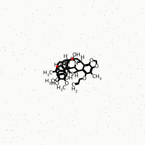 C=CCOc1c(C)c2c(c3c1[C@H]1SC[C@]4(NCCc5cc(O)c(OC)cc54)C(=O)OC[C@@H]3N3C1[C@H]1c4c(cc(C)c(OC)c4O)C[C@@H]([C@@H]3O)N1C)OCO2